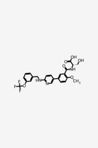 COc1ccc(-c2ccc(NCc3cccc(OC(F)(F)F)c3)nc2)cc1C(=O)N[C@@H](CO)C(=O)O